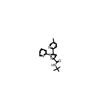 Cc1ccc(-c2cc(C(=O)NC(C)(C)C)nn2-c2ccccn2)nc1